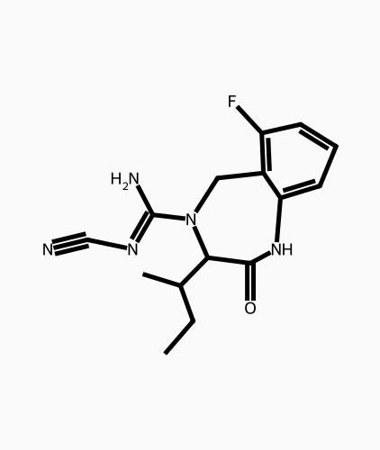 CCC(C)C1C(=O)Nc2cccc(F)c2CN1C(N)=NC#N